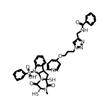 CN1C(=O)[C@@]2(S)C[C@]3(C4=CC=C(OCCCn5cc(CNC(=O)c6ccccc6)nn5)C=CN4)c4ccccc4N(S(=O)(=O)c4ccccc4)[C@@H]3N2C(=O)[C@@H]1S